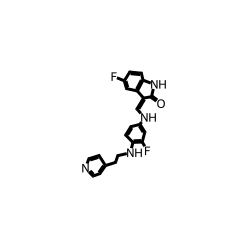 O=C1Nc2ccc(F)cc2C1=CNc1ccc(NCCc2ccncc2)c(F)c1